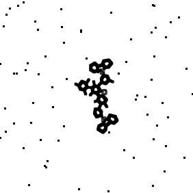 Cc1cc(-c2c(C)c(-c3c(C)cc(C)cc3C)c(C)c3c2oc2cc(C)c(-c4cccc(-n5c6ccccc6c6ccccc65)c4)c(C)c23)cc(-n2c3ccccc3c3ccccc32)c1